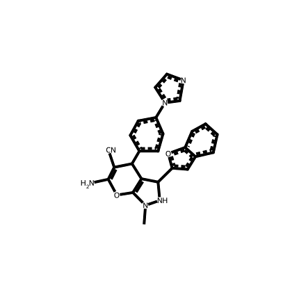 CN1NC(c2cc3ccccc3o2)C2=C1OC(N)=C(C#N)C2c1ccc(-n2ccnc2)cc1